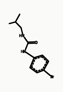 CC(C)CNC(=O)Nc1ccc(Br)cc1